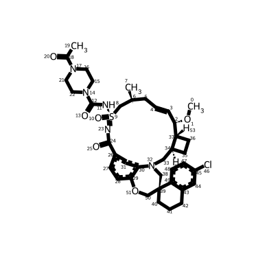 CO[C@H]1/C=C/C[C@H](C)C[S@@](=O)(NC(=O)N2CCN(C(C)=O)CC2)=NC(=O)c2ccc3c(c2)N(C[C@@H]2CC[C@H]21)C[C@@]1(CCCc2cc(Cl)ccc21)CO3